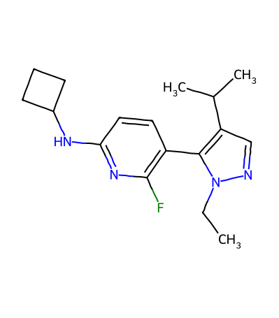 CCn1ncc(C(C)C)c1-c1ccc(NC2CCC2)nc1F